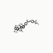 Cc1c(-c2[nH]c3ccc(C4CCN(C(=O)CCN5CCC(C(N)=O)CC5)CC4)cc3c2C(C)C)cn2ncnc2c1C